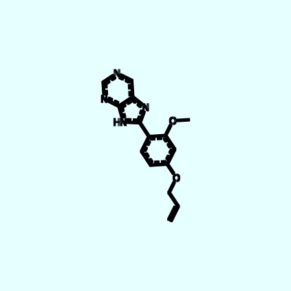 C=CCOc1ccc(-c2nc3cncnc3[nH]2)c(OC)c1